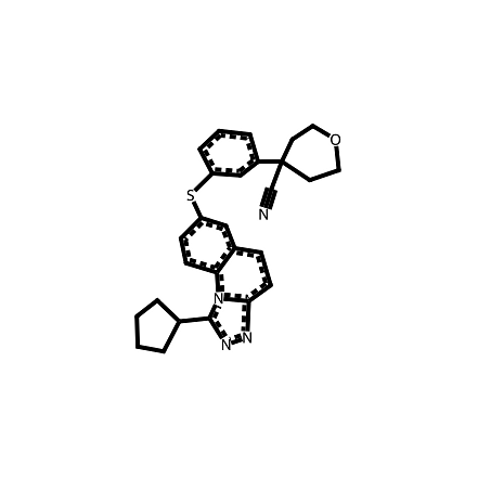 N#CC1(c2cccc(Sc3ccc4c(ccc5nnc(C6CCCC6)n54)c3)c2)CCOCC1